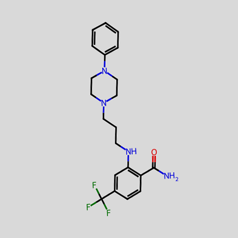 NC(=O)c1ccc(C(F)(F)F)cc1NCCCN1CCN(c2ccccc2)CC1